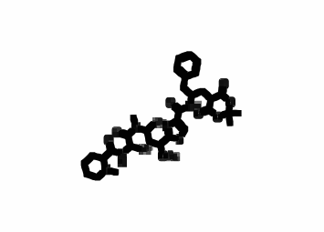 CC(=O)OC(CC(C(C)C)N(C)C(=O)C(NC(=O)C1CCCCN1C)C(C)C)c1nc(C(=O)NC(Cc2ccccc2)CC2C(=O)OC(C)(C)OC2=O)cs1